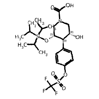 CC(C)[Si](O[C@@H]1CN(C(=O)O)C[C@H](O)[C@H]1c1ccc(OS(=O)(=O)C(F)(F)F)cc1)(C(C)C)C(C)C